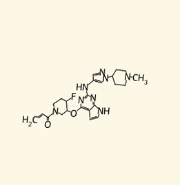 C=CC(=O)N1CCC(F)C(Oc2nc(Nc3cnn(C4CCN(C)CC4)c3)nc3[nH]ccc23)C1